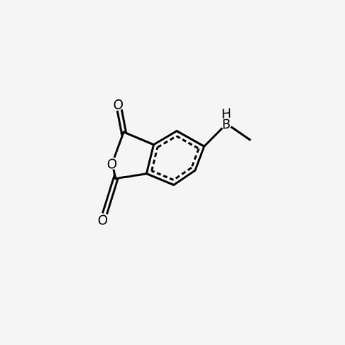 CBc1ccc2c(c1)C(=O)OC2=O